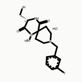 CCCCN1C(=O)[C@H](CC(C)C)NC(=O)C12CCN(Cc1cccc(F)c1)CC2.Cl